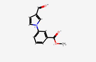 COC(=O)c1cccc(-n2ccc(C=O)c2)c1